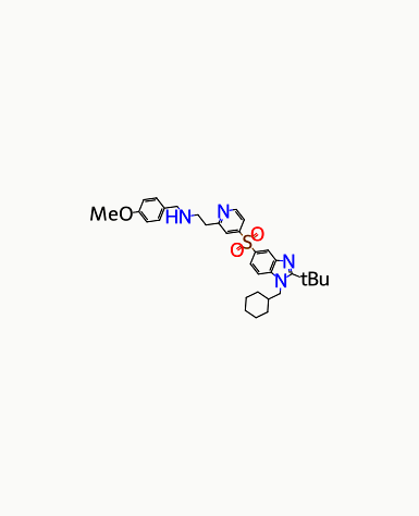 COc1ccc(CNCCc2cc(S(=O)(=O)c3ccc4c(c3)nc(C(C)(C)C)n4CC3CCCCC3)ccn2)cc1